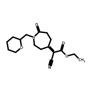 CCOC(=O)C(C#N)=C1CCC(=O)N(CC2CCCCO2)CC1